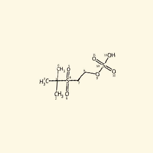 CC(C)(C)S(=O)(=O)CCOS(=O)(=O)O